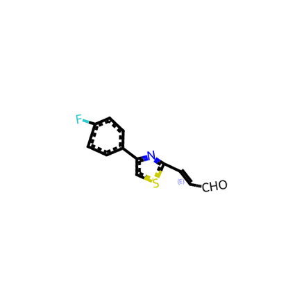 O=C/C=C/c1nc(-c2ccc(F)cc2)cs1